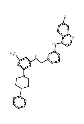 Cc1cc(NCc2cccc(Nc3ccnc4cc(Cl)ccc34)c2)nc(N2CCN(c3ccccc3)CC2)n1